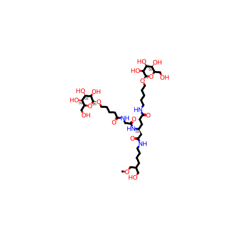 COCC(CO)CCCCNC(=O)C[C@H](CCC(=O)NCCCCCO[C@@H]1OC(CO)[C@@H](O)[C@H](O)C1O)NC(=O)CNC(=O)CCCCO[C@@H]1OC(CO)[C@@H](O)[C@H](O)C1O